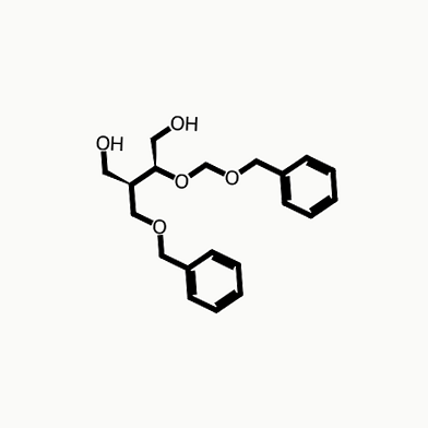 OC[C@H](COCc1ccccc1)[C@@H](CO)OCOCc1ccccc1